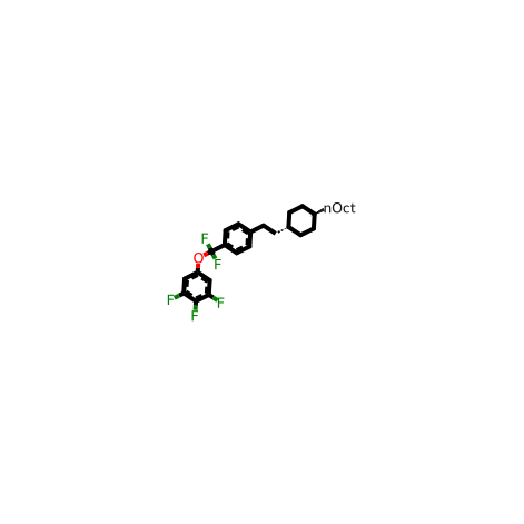 CCCCCCCC[C@H]1CC[C@H](CCc2ccc(C(F)(F)Oc3cc(F)c(F)c(F)c3)cc2)CC1